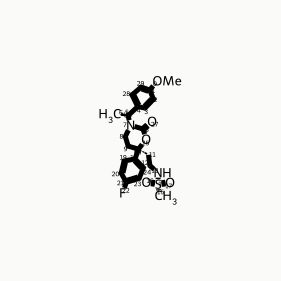 COc1ccc([C@H](C)N2CC[C@](CCNS(C)(=O)=O)(c3ccc(F)cc3)OC2=O)cc1